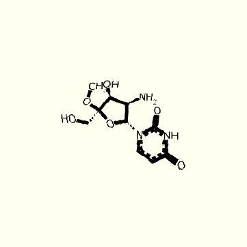 CO[C@]1(CO)O[C@@H](n2ccc(=O)[nH]c2=O)[C@H](N)[C@@H]1O